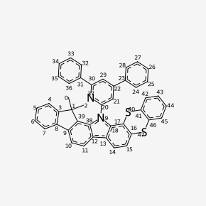 CC1(C)c2ccccc2-c2ccc3c4ccc5c(c4n(-c4cc(-c6ccccc6)cc(-c6ccccc6)n4)c3c21)Sc1ccccc1S5